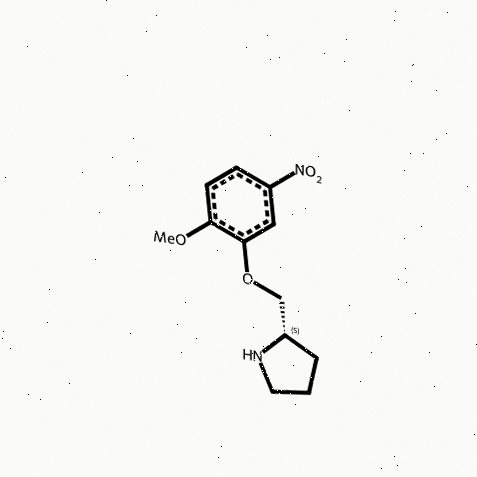 COc1ccc([N+](=O)[O-])cc1OC[C@@H]1CCCN1